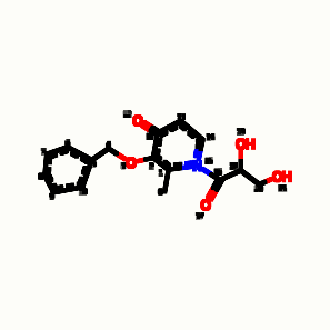 Cc1c(OCc2ccccc2)c(=O)ccn1C(=O)C(O)CO